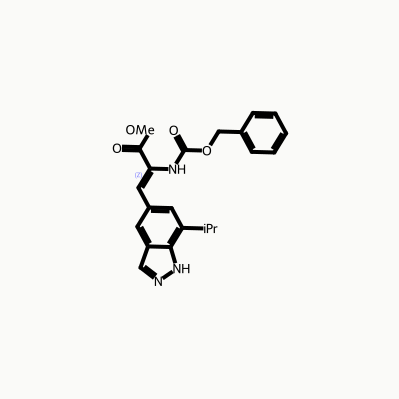 COC(=O)/C(=C/c1cc(C(C)C)c2[nH]ncc2c1)NC(=O)OCc1ccccc1